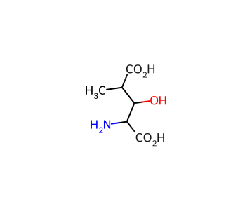 CC(C(=O)O)C(O)C(N)C(=O)O